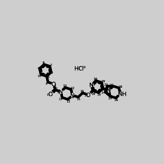 Cl.O=C(OCc1ccccc1)N1CCN(CCOc2cc(N3C4CCC3CNC4)ccn2)CC1